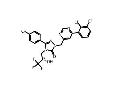 O=c1n(Cc2cc(-c3cccc(Cl)c3Cl)ncn2)nc(-c2ccc(Cl)cc2)n1C[C@H](O)C(F)(F)F